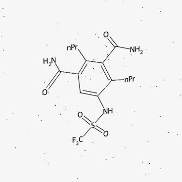 CCCc1c(NS(=O)(=O)C(F)(F)F)cc(C(N)=O)c(CCC)c1C(N)=O